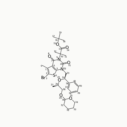 Cc1c(Br)sc2c1c(=O)n(C(C)(C)C(=O)OC(C)(C)C)c(=O)n2C[C@H](O[C@H](C)COC1CCCCO1)c1ccccc1